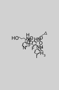 Cc1cc(I)ccc1Nc1c(C(=O)NOCC2CC2)cc(S(=O)(=O)NC(CCCO)c2ccncc2)c(F)c1F